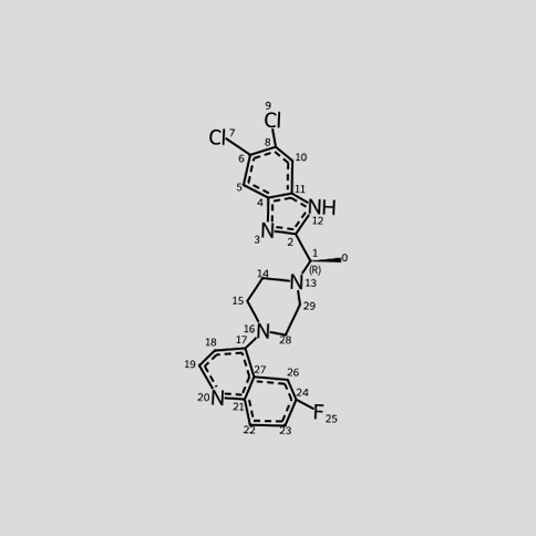 C[C@H](c1nc2cc(Cl)c(Cl)cc2[nH]1)N1CCN(c2ccnc3ccc(F)cc23)CC1